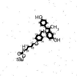 Cc1c(-c2ccc(O)cc2)n(Cc2ccc(OCCCCNC(=O)OC(C)(C)C)cc2)c2ccc(O)cc12